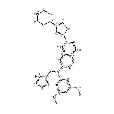 COc1cc(OC)cc(N(Cc2ncc[nH]2)c2ccc3ncc(C4=CN(C5CCNCC5)NC4)nc3n2)c1